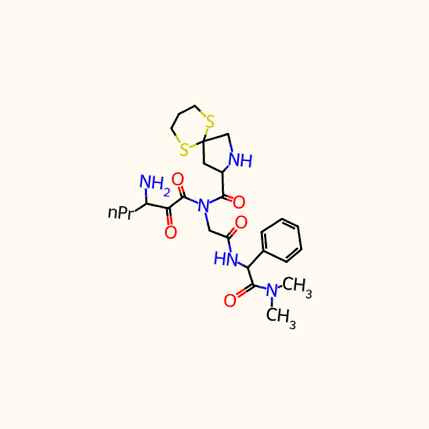 CCCC(N)C(=O)C(=O)N(CC(=O)NC(C(=O)N(C)C)c1ccccc1)C(=O)C1CC2(CN1)SCCCS2